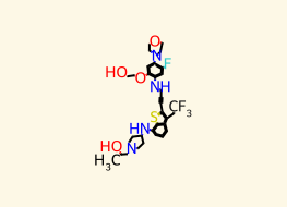 CC(O)CN1CCC(Nc2cccc3c(CC(F)(F)F)c(C#CCNc4cc(F)c(N5CCOCC5)cc4OCCO)sc23)CC1